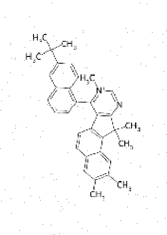 Cc1cc2ccc3c(c2cc1C)C(C)(C)c1nc[n+](C)c(-c2cccc4cc(C(C)(C)C)ccc24)c1-3